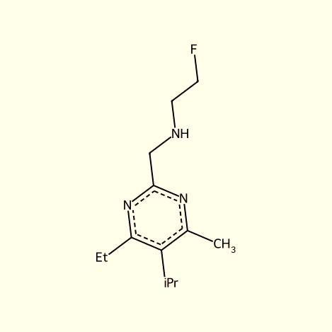 CCc1nc(CNCCF)nc(C)c1C(C)C